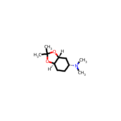 CN(C)[C@@H]1CC[C@H]2OC(C)(C)O[C@@H]2C1